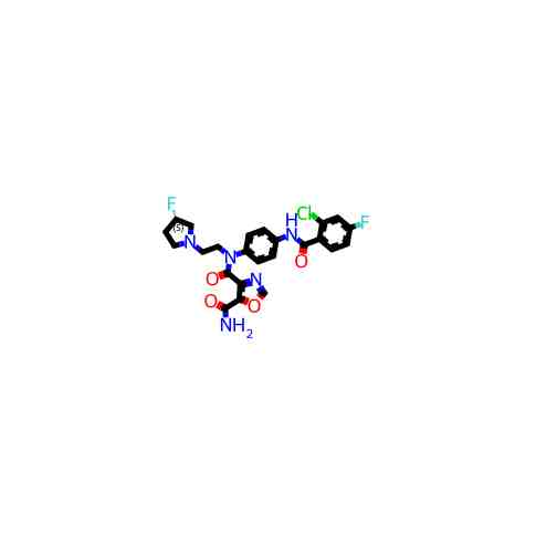 NC(=O)c1ocnc1C(=O)N(CCN1CC[C@H](F)C1)c1ccc(NC(=O)c2ccc(F)cc2Cl)cc1